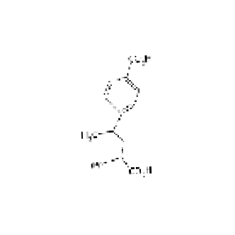 CC(CC(C(=O)O)C(C)C)c1ccc(C(=O)O)cc1